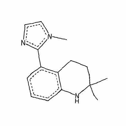 Cn1ccnc1-c1cccc2c1CCC(C)(C)N2